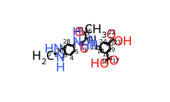 C=C1Nc2ccc(NC(=O)/C(=N\Nc3cc(C(=O)O)cc(C(=O)O)c3)C(C)=O)cc2N1